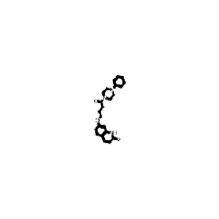 O=C1CCc2ccc(OCCCC(=O)N3CCN(c4ccccc4)CC3)cc2N1